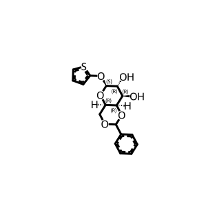 O[C@@H]1[C@@H](O)[C@H](Oc2cccs2)O[C@@H]2COC(c3ccccc3)O[C@H]12